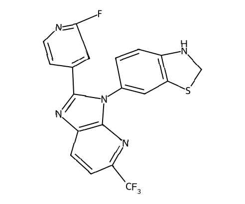 Fc1cc(-c2nc3ccc(C(F)(F)F)nc3n2-c2ccc3c(c2)SCN3)ccn1